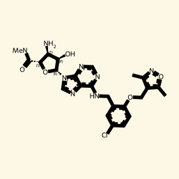 CNC(=O)[C@H]1O[C@@H](n2cnc3c(NCc4cc(Cl)ccc4OCc4c(C)noc4C)ncnc32)[C@H](O)[C@@H]1N